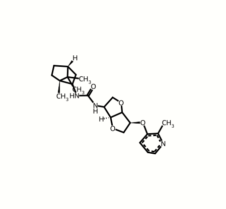 Cc1ncccc1O[C@H]1CO[C@H]2C(NC(=O)NC3C[C@H]4CC[C@]3(C)C4(C)C)COC21